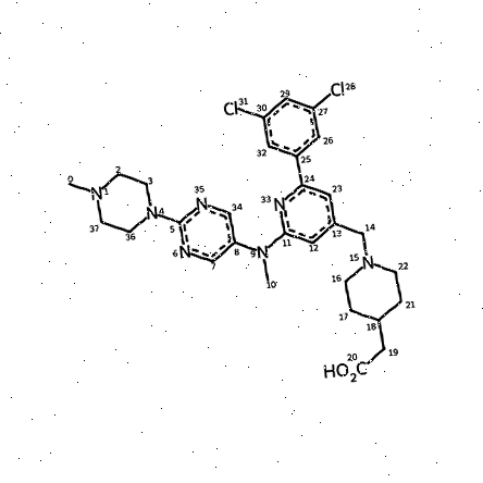 CN1CCN(c2ncc(N(C)c3cc(CN4CCC(CC(=O)O)CC4)cc(-c4cc(Cl)cc(Cl)c4)n3)cn2)CC1